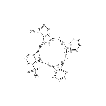 NS(=O)(=O)c1cccc2c3nc4nc(nc5[nH]c(nc6nc(nc([nH]3)c12)-c1ccccc1-6)c1ccccc51)-c1ccccc1-4.[AlH3]